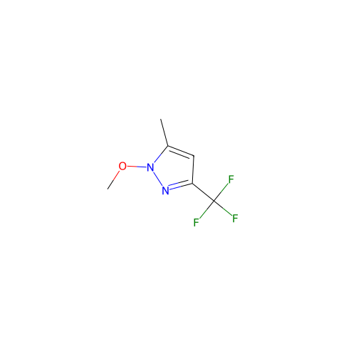 COn1nc(C(F)(F)F)cc1C